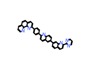 c1cnc(-c2ccc3ccc(-c4ccc5nc(-c6ccc(-c7ccc8ccc9cccnc9c8n7)cc6)ccc5c4)cc3n2)nc1